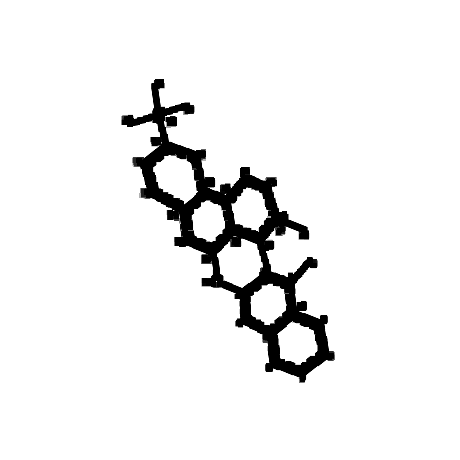 Cc1c2c(cc3ccccc13)Oc1cc3ccc([Si](C)(C)C)cc3c3cc[n+](C)c-2c13